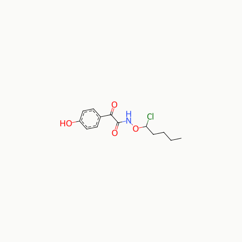 CCCCC(Cl)ONC(=O)C(=O)c1ccc(O)cc1